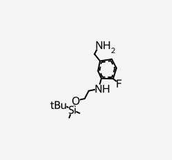 CC(C)(C)[Si](C)(C)OCCNc1cc(CN)ccc1F